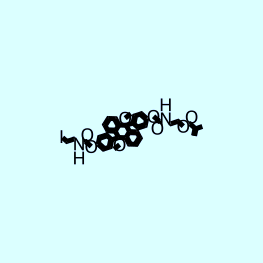 C=C(C)C(=O)OCCNC(=O)Oc1ccc(C2(OC)c3ccccc3C(OC)(c3ccc(OC(=O)NCCI)cc3)c3ccccc32)cc1